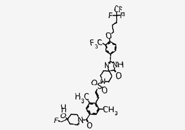 Cc1cc(C(=O)N2CCC(O)(CF)CC2)cc(C)c1/C=C/S(=O)(=O)N1CCC2(CC1)N=C(c1ccc(OCCCC(F)(F)C(F)(F)F)c(C(F)(F)F)c1)NC2=O